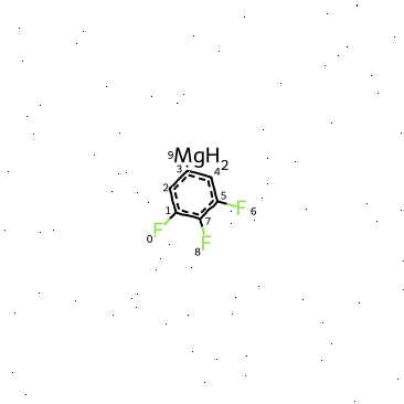 Fc1c[c]cc(F)c1F.[MgH2]